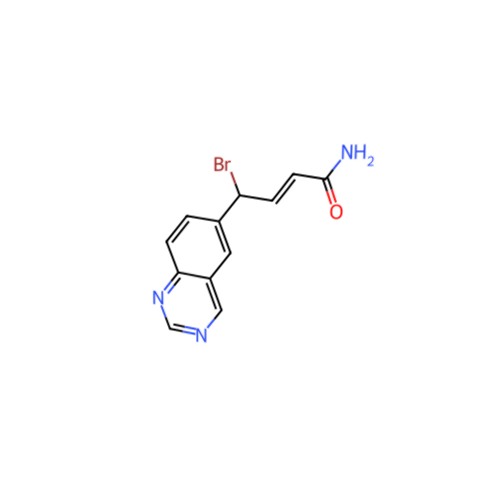 NC(=O)C=CC(Br)c1ccc2ncncc2c1